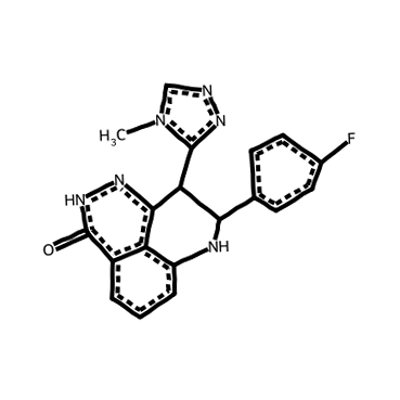 Cn1cnnc1C1c2n[nH]c(=O)c3cccc(c23)NC1c1ccc(F)cc1